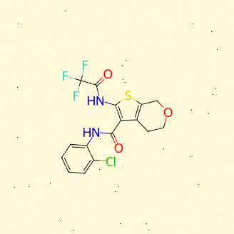 O=C(Nc1ccccc1Cl)c1c(NC(=O)C(F)(F)F)sc2c1CCOC2